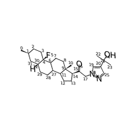 C[C@H]1CC[C@]2(F)C3CC[C@@]4(C)C(CC[C@@H]4C(=O)Cn4cc(C(C)(C)O)cn4)C3CC[C@@H]2C1